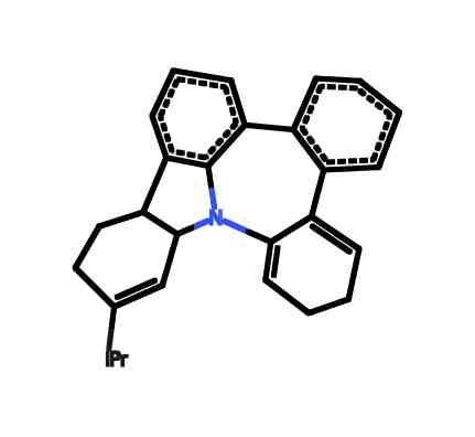 CC(C)C1=CC2C(CC1)c1cccc3c1N2C1=CCCC=C1c1ccccc1-3